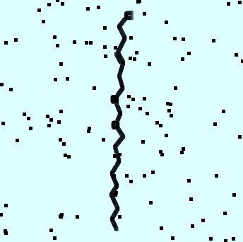 CCCCCCCCCOCOCCC=CCCCl